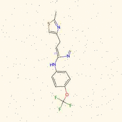 C=N/C(=C\Cc1csc(C)n1)Nc1ccc(OC(F)(F)F)cc1